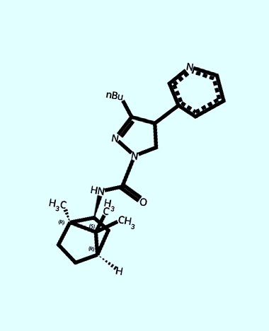 CCCCC1=NN(C(=O)N[C@H]2C[C@H]3CC[C@]2(C)C3(C)C)CC1c1cccnc1